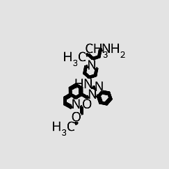 CCOCCOC(c1cccc2cccnc12)n1c(NC2CCN(C(CCN)C(C)C)CC2)nc2ccccc21